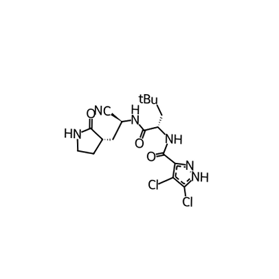 CC(C)(C)C[C@H](NC(=O)c1n[nH]c(Cl)c1Cl)C(=O)N[C@H](C#N)C[C@@H]1CCNC1=O